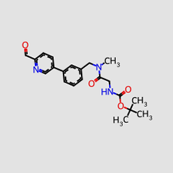 CN(Cc1cccc(-c2ccc(C=O)nc2)c1)C(=O)CNC(=O)OC(C)(C)C